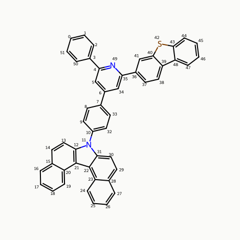 c1ccc(-c2cc(-c3ccc(-n4c5ccc6ccccc6c5c5c6ccccc6ccc54)cc3)cc(-c3ccc4c(c3)sc3ccccc34)n2)cc1